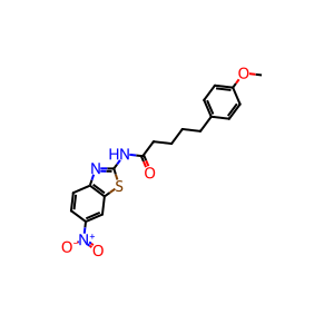 COc1ccc(CCCCC(=O)Nc2nc3ccc([N+](=O)[O-])cc3s2)cc1